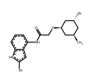 CC(C)c1cc2c(NC(=O)CO[C@@H]3C[C@H](C)C[C@@H](C(C)C)C3)cccc2[nH]1